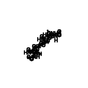 COc1cccc2[nH]c(C(=O)N[C@@H](CC(C)C)C(=O)N[C@@H](C[C@@H]3CCNC3=O)C(=O)CO[C@H](C)C(C)(C)OC(=O)OC(C)(C)[C@@H](C)OCC(=O)[C@H](C[C@@H]3CCNC3=O)NC(=O)[C@H](CC(C)C)NC(=O)c3cc4c(OC)cccc4[nH]3)cc12